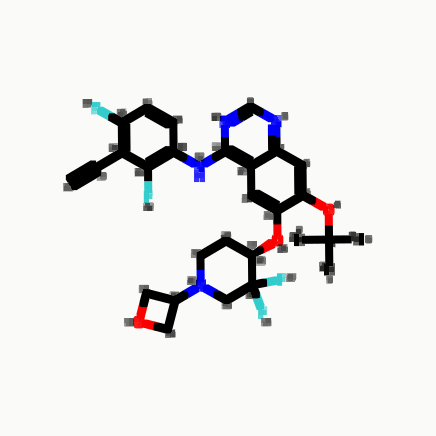 [2H]C([2H])([2H])Oc1cc2ncnc(Nc3ccc(F)c(C#C)c3F)c2cc1O[C@@H]1CCN(C2COC2)CC1(F)F